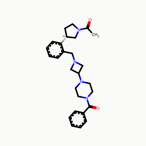 CC(=O)N1CC[C@@H](c2ccccc2CN2CC(N3CCN(C(=O)c4ccccc4)CC3)C2)C1